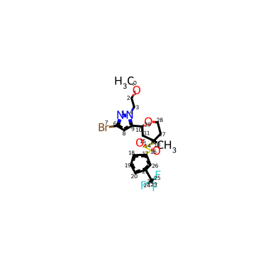 COCCn1nc(Br)cc1C1CC(C)(S(=O)(=O)c2cccc(C(F)(F)F)c2)CCO1